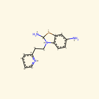 Nc1ccc2c(c1)SC(N)N2CCc1ccccn1